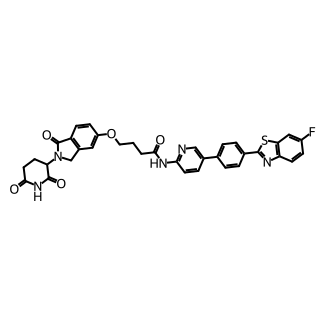 O=C1CCC(N2Cc3cc(OCCCC(=O)Nc4ccc(-c5ccc(-c6nc7ccc(F)cc7s6)cc5)cn4)ccc3C2=O)C(=O)N1